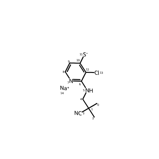 CC(C)(C#N)CNc1nccc([S-])c1Cl.[Na+]